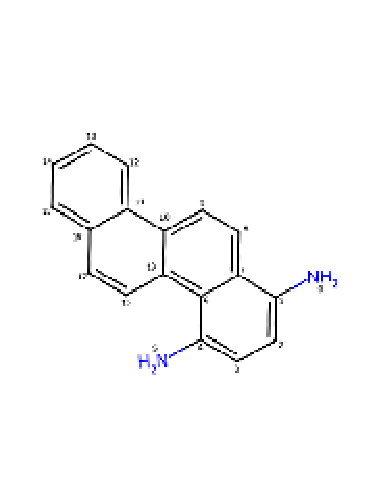 Nc1ccc(N)c2c1ccc1c3ccccc3ccc12